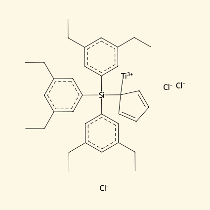 CCc1cc(CC)cc([Si](c2cc(CC)cc(CC)c2)(c2cc(CC)cc(CC)c2)[C]2([Ti+3])C=CC=C2)c1.[Cl-].[Cl-].[Cl-]